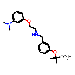 CN(C)c1cccc(OCCNCc2cccc(OC(C)(C)C(=O)O)c2)c1